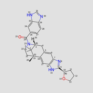 CC1(C)[C@H]2Cc3cc4nc([C@H]5CCCO5)[nH]c4cc3[C@]1(C)CCN2C(=O)c1ccc2nc[nH]c2c1